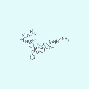 CC(C)O.CN(C)C(COCC(N(C)C)N(C)C)N(C)C.CN(C)CCCN.O=C(O)CC(O)(CC(=O)O)C(=O)O.c1ccc(OP(Oc2ccccc2)Oc2ccccc2)cc1